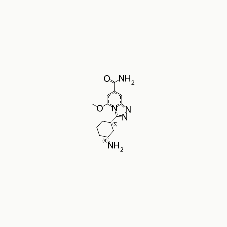 COc1cc(C(N)=O)cc2nnc([C@H]3CCC[C@@H](N)C3)n12